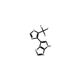 FC(F)(F)c1scnc1-c1c[nH]c2ncoc12